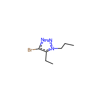 CCCn1nnc(Br)c1CC